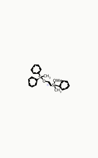 CO[Si](C)(/C=C/O[Si](C)(c1ccccc1)c1ccccc1)c1ccccc1